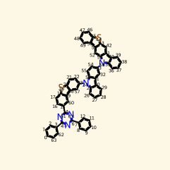 c1ccc(-c2nc(-c3ccccc3)nc(-c3ccc4sc5ccc(-n6c7ccccc7c7cc(-n8c9ccccc9c9cc%10sc%11ccccc%11c%10cc98)ccc76)cc5c4c3)n2)cc1